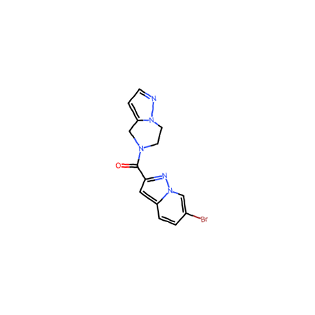 O=C(c1cc2ccc(Br)cn2n1)N1CCn2nccc2C1